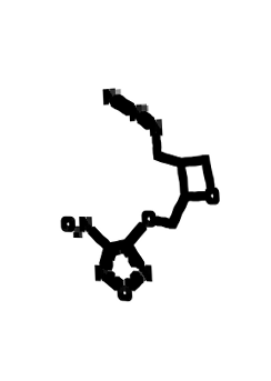 [N-]=[N+]=NCC1COC1COc1nonc1[N+](=O)[O-]